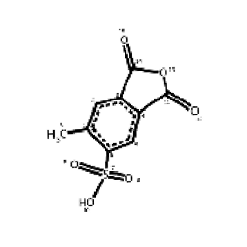 Cc1cc2c(cc1S(=O)(=O)O)C(=O)OC2=O